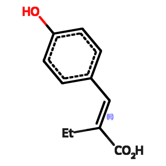 CC/C(=C\c1ccc(O)cc1)C(=O)O